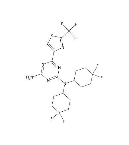 Nc1nc(-c2csc(C(F)(F)F)n2)nc(N(C2CCC(F)(F)CC2)C2CCC(F)(F)CC2)n1